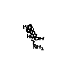 NCCCC[C@H](NC(=O)C1CC[C@H]2CCC[C@@H]12)C(=O)O